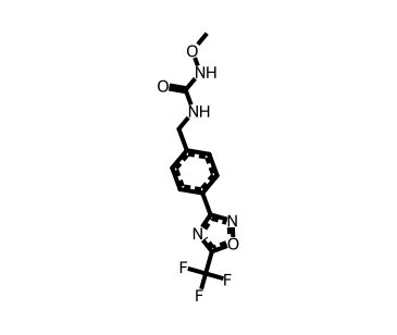 CONC(=O)NCc1ccc(-c2noc(C(F)(F)F)n2)cc1